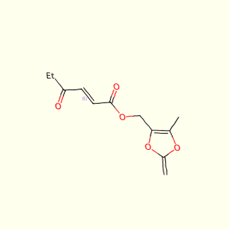 C=C1OC(C)=C(COC(=O)/C=C/C(=O)CC)O1